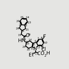 CCC(C(=O)O)n1c2c(c3cc(F)cc(Cl)c31)C[C@@H](NC(=O)CC1Cc3ccccc3C1)CC2